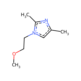 COCCn1cc(C)nc1C